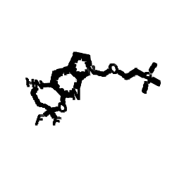 C[Si](C)(C)CCOCn1ccc2cc3c(nc21)OC(F)(F)CCN3